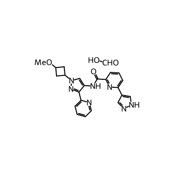 COC1CC(n2cc(NC(=O)c3cccc(-c4cn[nH]c4)n3)c(-c3ccccn3)n2)C1.O=CO